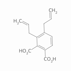 C=CCc1ccc(C(=O)O)c(C(=O)O)c1CC=C